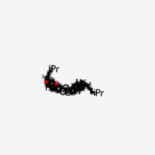 CC(C)CCC[C@@H](C)[C@H]1CC[C@H]2[C@@H]3CC=C4C[C@@H](OS(=O)O[C@H]5CC[C@@]6(C)C(=CC[C@H]7[C@@H]8CC[C@H]([C@H](C)CCCC(C)C)[C@@]8(C)CC[C@@H]76)C5)CC[C@]4(C)[C@H]3CC[C@]12C